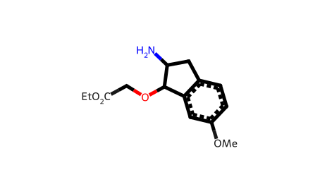 CCOC(=O)COC1c2cc(OC)ccc2CC1N